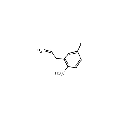 C=CCc1cc(I)ccc1C(=O)O